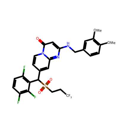 COc1ccc(CNc2cc(=O)n3ccc(C(c4c(F)ccc(F)c4F)S(=O)(=O)CCC(F)(F)F)cc3n2)cc1OC